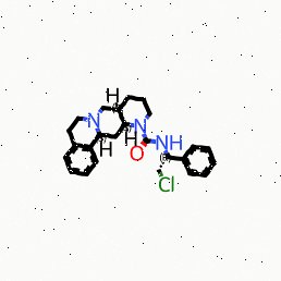 O=C(N[C@@H](CCl)c1ccccc1)N1CCC[C@@H]2CN3CCc4ccccc4[C@@H]3C[C@@H]21